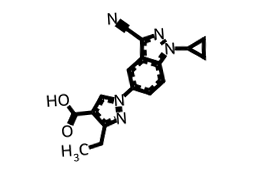 CCc1nn(-c2ccc3c(c2)c(C#N)nn3C2CC2)cc1C(=O)O